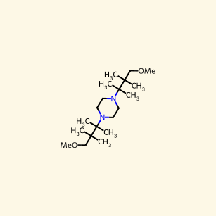 COCC(C)(C)C(C)(C)N1CCN(C(C)(C)C(C)(C)COC)CC1